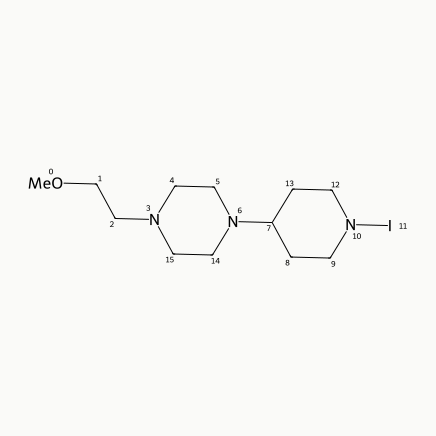 COCCN1CCN(C2CCN(I)CC2)CC1